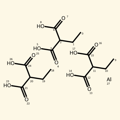 CCC(C(=O)O)C(=O)O.CCC(C(=O)O)C(=O)O.CCC(C(=O)O)C(=O)O.[Al]